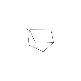 C1CC2C[C]1C2